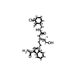 C[C@H](CO)N(CCn1nc(C(N)=O)c2ccccc21)CC(=O)NCc1cccc(Cl)c1F